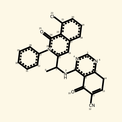 CC(Nc1ncnc2c1C(=O)C(C#N)=CC2)c1cc2cccc(Cl)c2c(=O)n1-c1ccccc1